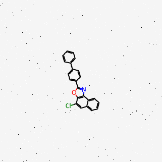 Clc1cc2ccccc2c2nc(-c3ccc(-c4ccccc4)cc3)oc12